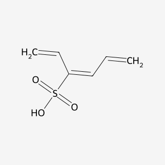 C=C/C=C(\C=C)S(=O)(=O)O